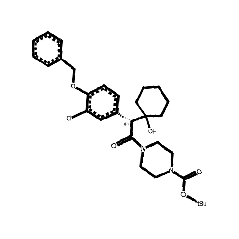 CC(C)(C)OC(=O)N1CCN(C(=O)[C@H](c2ccc(OCc3ccccc3)c(Cl)c2)C2(O)CCCCC2)CC1